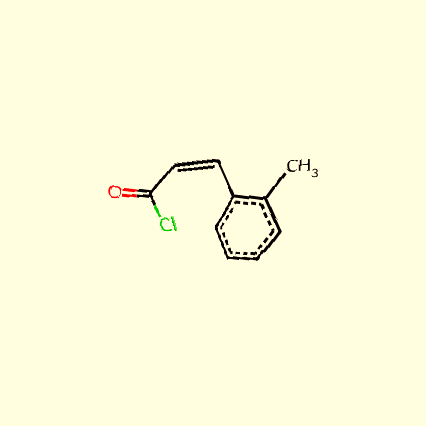 Cc1ccccc1/C=C\C(=O)Cl